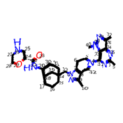 Cc1nc(N2CCc3c(c(C)nn3CC34CCCC(C3)C(NC(=O)[C@H]3CNCCO3)CC4)C2)c2c(n1)c(C)nn2C